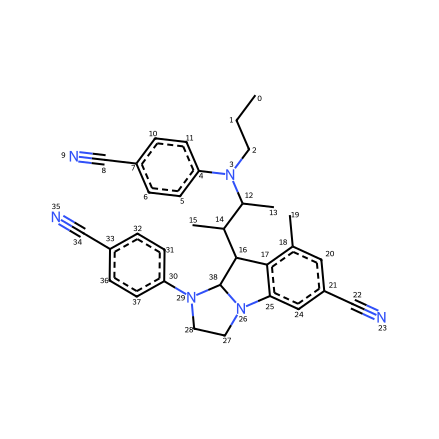 CCCN(c1ccc(C#N)cc1)C(C)C(C)C1c2c(C)cc(C#N)cc2N2CCN(c3ccc(C#N)cc3)C12